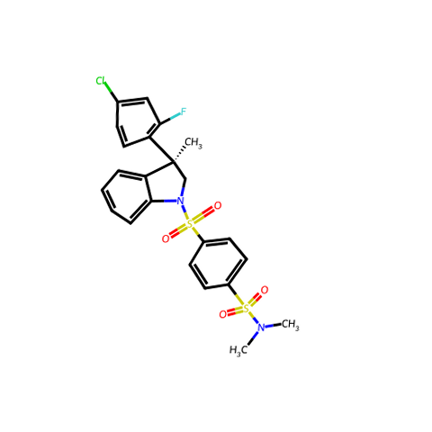 CN(C)S(=O)(=O)c1ccc(S(=O)(=O)N2C[C@](C)(c3ccc(Cl)cc3F)c3ccccc32)cc1